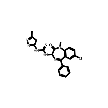 CC1=NN=C(NC(=S)NC2N=C(c3ccccc3)c3cc(Cl)ccc3N(C)C2=O)C1